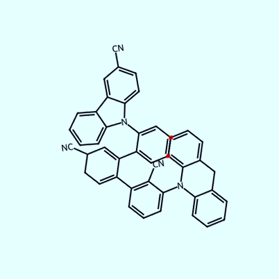 N#Cc1ccc2c(c1)c1ccccc1n2-c1ccccc1C1=CC(C#N)CC=C1c1cccc(N2c3ccccc3Cc3ccccc32)c1C#N